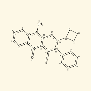 Cn1c2cnccc2c(=O)c2c(=O)n(-c3ccccc3)c(C3CCC3)nc21